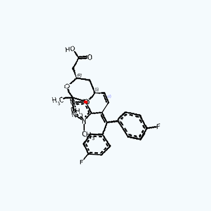 Cn1nnnc1C(/C=C\[C@@H]1C[C@H](CC(=O)O)OC(C)(C)O1)=C(c1ccc(F)cc1)c1ccc(F)cc1